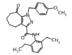 CCc1cccc(CC)c1NC(=O)c1nn(Cc2ccc(OC)cc2)c2c1CCCCC2=O